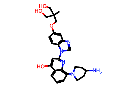 CC(CO)(CO)COc1ccc2c(c1)ncn2-c1cc(O)c2cccc(N3CCC(N)CC3)c2n1